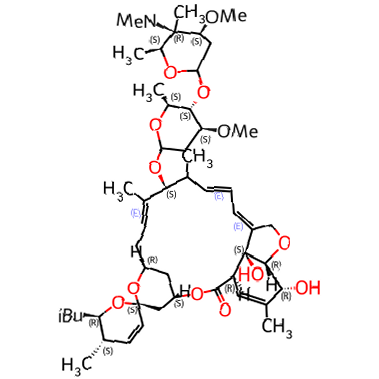 CCC(C)[C@H]1O[C@]2(C=C[C@@H]1C)C[C@@H]1C[C@@H](C/C=C(\C)[C@@H](OC3C[C@H](OC)[C@@H](OC4C[C@H](OC)[C@](C)(NC)[C@H](C)O4)[C@H](C)O3)C(C)/C=C/C=C3\CO[C@@H]4[C@H](O)C(C)=C[C@@H](C(=O)O1)[C@]34O)O2